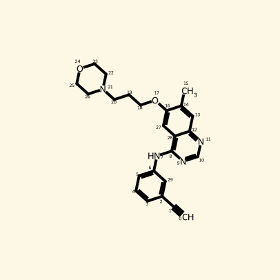 C#Cc1cccc(Nc2ncnc3cc(C)c(OCCCN4CCOCC4)cc23)c1